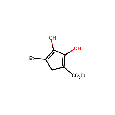 CCOC(=O)C1=C(O)C(O)=C(CC)C1